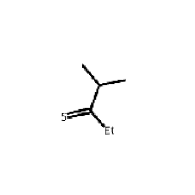 [CH2]CC(=S)C(C)C